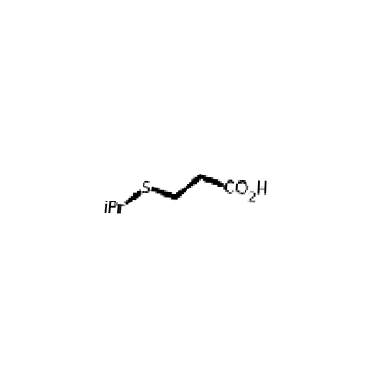 CC(C)SCCC(=O)O